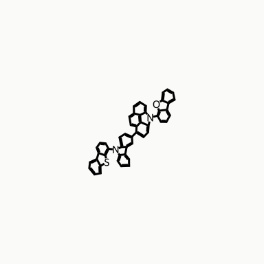 c1ccc2c(c1)oc1c(-n3c4cccc5ccc6c(-c7ccc8c(c7)c7ccccc7n8-c7cccc8c7sc7ccccc78)ccc3c6c54)cccc12